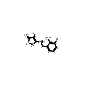 O=c1ssc(NCc2cccc(F)c2Cl)c1Cl